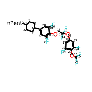 CCCCCC1CCC(c2cc(F)c(OCC(F)(F)Oc3cc(F)c(OC(F)F)c(F)c3)c(F)c2)CC1